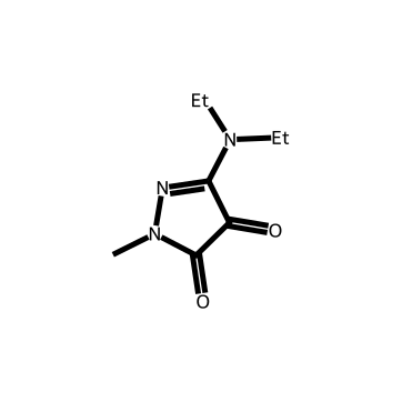 CCN(CC)C1=NN(C)C(=O)C1=O